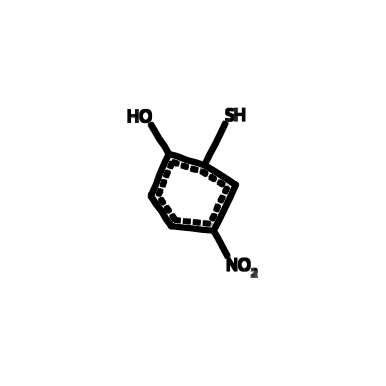 O=[N+]([O-])c1ccc(O)c(S)c1